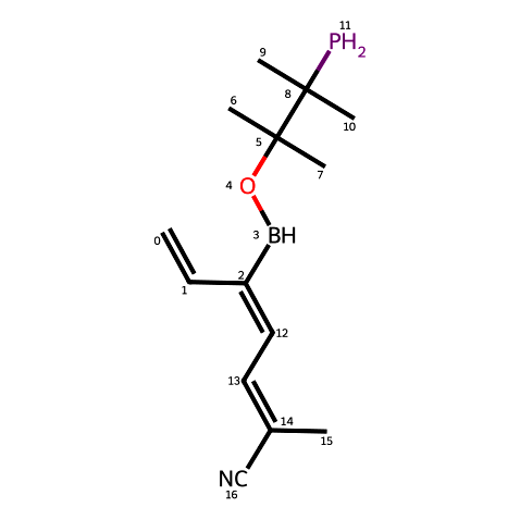 C=C/C(BOC(C)(C)C(C)(C)P)=C\C=C(/C)C#N